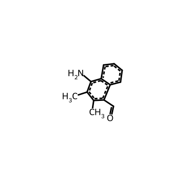 Cc1c(C)c(C=O)c2ccccc2c1N